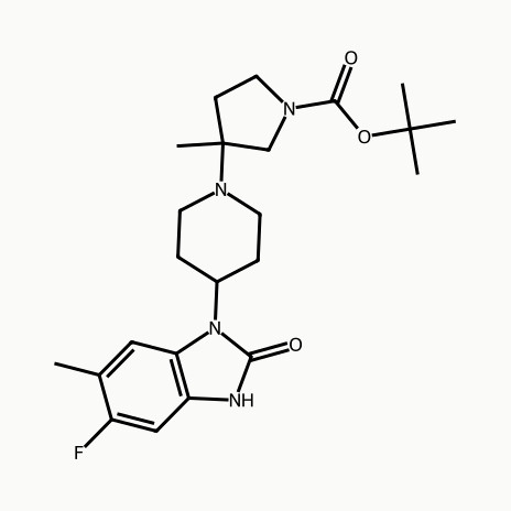 Cc1cc2c(cc1F)[nH]c(=O)n2C1CCN(C2(C)CCN(C(=O)OC(C)(C)C)C2)CC1